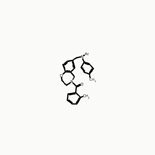 CC(=O)N(Cc1ccc2c(c1)CN(C(=O)c1ccccc1C)CCO2)c1ccc(C)cc1